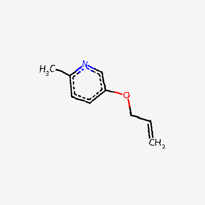 C=CCOc1ccc(C)nc1